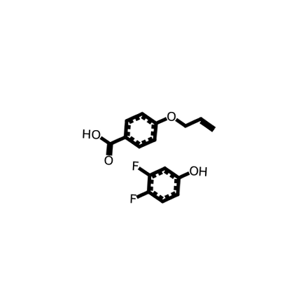 C=CCOc1ccc(C(=O)O)cc1.Oc1ccc(F)c(F)c1